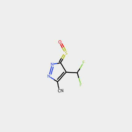 N#CC1=C(C(F)F)C(=S=O)N=N1